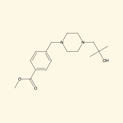 COC(=O)c1ccc(CN2CCN(CC(C)(C)O)CC2)cc1